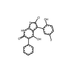 O=c1[nH]c2sc(Cl)c(-c3cc(F)ccc3O)c2c(O)c1-c1ccccc1